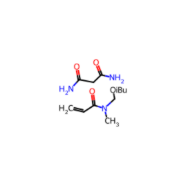 C=CC(=O)N(C)COCC(C)C.NC(=O)CC(N)=O